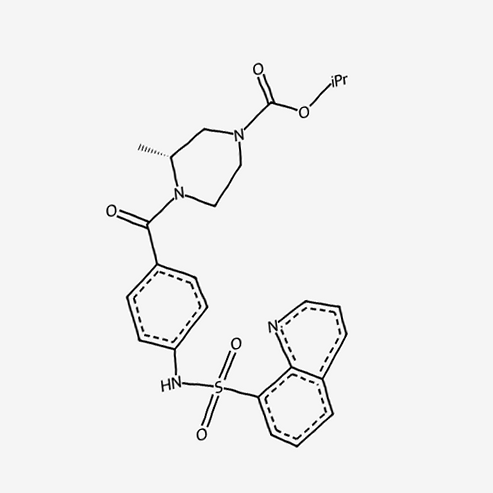 CC(C)OC(=O)N1CCN(C(=O)c2ccc(NS(=O)(=O)c3cccc4cccnc34)cc2)[C@H](C)C1